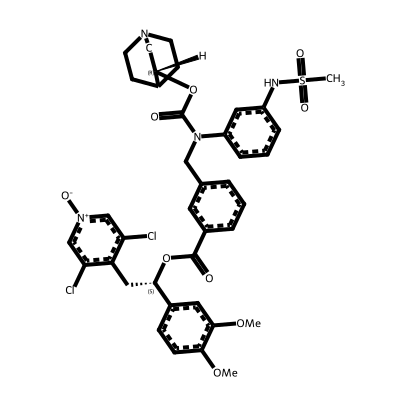 COc1ccc([C@H](Cc2c(Cl)c[n+]([O-])cc2Cl)OC(=O)c2cccc(CN(C(=O)O[C@H]3CN4CCC3CC4)c3cccc(NS(C)(=O)=O)c3)c2)cc1OC